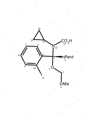 CCCCC[C@@](OCOC)(c1ccccc1I)N(C(=O)O)C1CC1